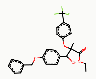 CCOC(=O)C(C)(Oc1ccc(C(F)(F)F)cc1)C(O)c1ccc(OCc2ccccc2)cc1